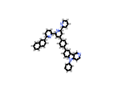 c1ccc(-n2c3ccncc3c3cc(-c4ccc(-c5cc(-c6ccccn6)nc(-c6cccc(-c7ccc8ccccc8c7)n6)c5)cc4)ccc32)cc1